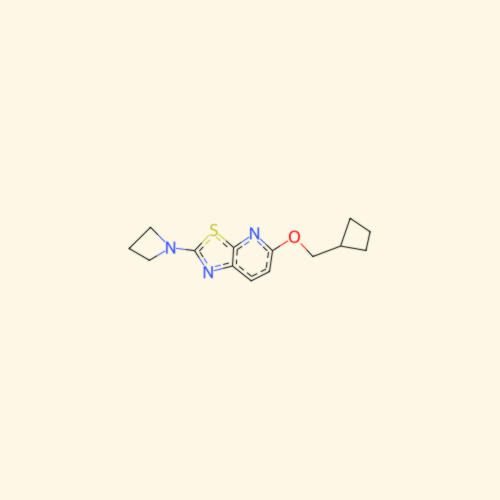 c1cc2nc(N3CCC3)sc2nc1OCC1CCC1